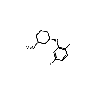 CO[C@H]1CCC[C@@H](Oc2cc(F)ccc2C)C1